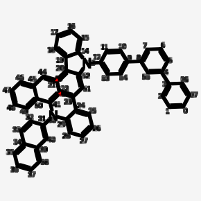 c1ccc(-c2cccc(-c3ccc(-n4c5ccccc5c5ccc(-c6ccccc6N(c6ccc7ccccc7c6)c6cccc7ccccc67)cc54)cc3)c2)cc1